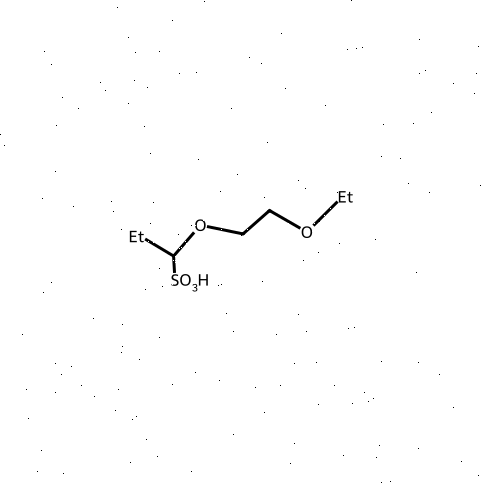 [CH2]COCCOC(CC)S(=O)(=O)O